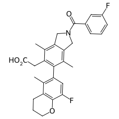 Cc1c(-c2c(C)c3c(c(C)c2CC(=O)O)CN(C(=O)c2cccc(F)c2)C3)cc(F)c2c1CCCO2